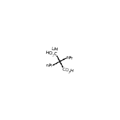 CCCC(CCC)(C(=O)O)C(=O)O.[LiH]